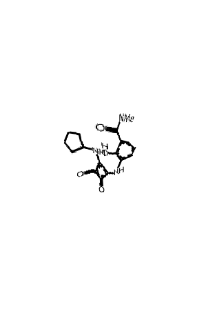 CNC(=O)c1cccc(Nc2c(NC3CCCC3)c(=O)c2=O)c1O